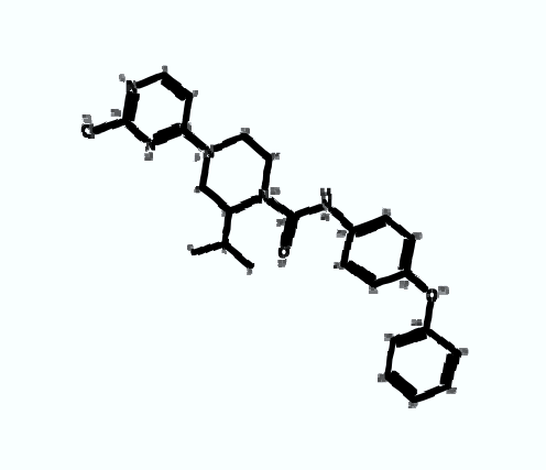 CC(C)C1CN(c2ccnc(Cl)n2)CCN1C(=O)Nc1ccc(Oc2ccccc2)cc1